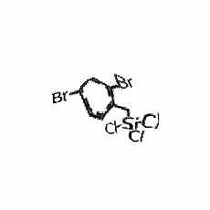 Cl[Si](Cl)(Cl)Cc1ccc(Br)cc1Br